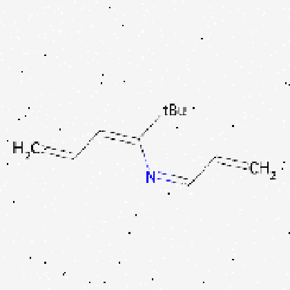 C=C/C=N\C(=C/C=C)C(C)(C)C